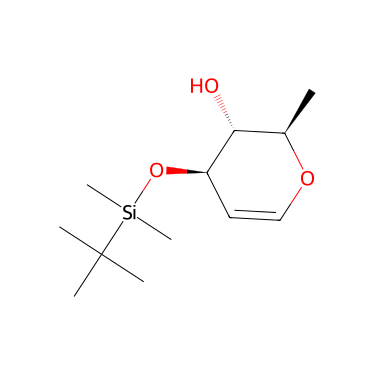 C[C@H]1OC=C[C@@H](O[Si](C)(C)C(C)(C)C)[C@@H]1O